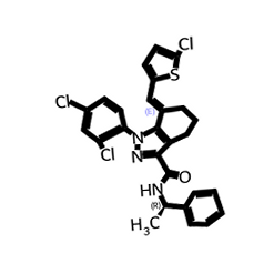 C[C@@H](NC(=O)c1nn(-c2ccc(Cl)cc2Cl)c2c1CCC/C2=C\c1ccc(Cl)s1)c1ccccc1